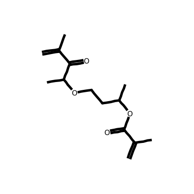 C=C(C)C(=O)OC(C)CCOC(C)C(=O)C(=C)C